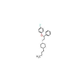 CCCC[C@H]1CC[C@H](CCC(Oc2ccc(F)cc2)c2ccccc2)CC1